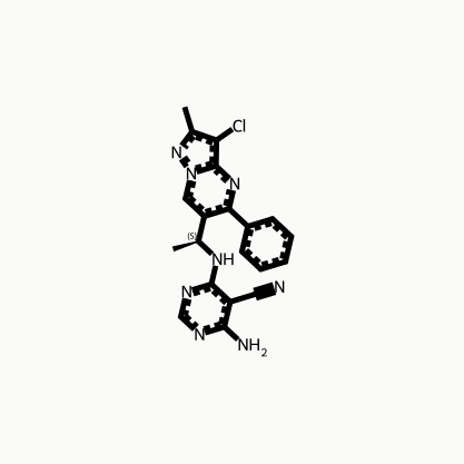 Cc1nn2cc([C@H](C)Nc3ncnc(N)c3C#N)c(-c3ccccc3)nc2c1Cl